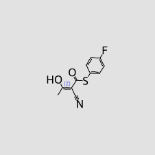 C/C(O)=C(\C#N)C(=O)Sc1ccc(F)cc1